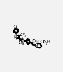 O=C(O)[C@H]1CCCN(C[C@H](O)c2ccc(-c3noc(-c4cnn(-c5ccc(Cl)cc5)c4C(F)(F)F)n3)cc2)C1